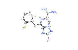 N=C(N)c1cn2nc(I)nc2c(Cc2ccccc2F)n1